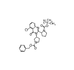 CC(C)(C)OC(=O)N1CCCC1c1nc2cccc(Cl)c2c(=O)n1[C@H]1CCN(C(=O)OCc2ccccc2)C1